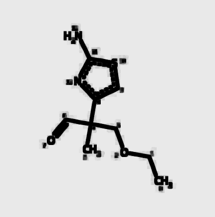 CCOCC(C)(C=O)c1csc(N)n1